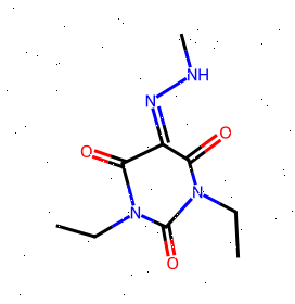 CCN1C(=O)C(=NNC)C(=O)N(CC)C1=O